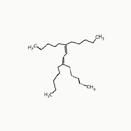 CCCCCC(=CC=C(CCCCC)CCCCC)CCCCC